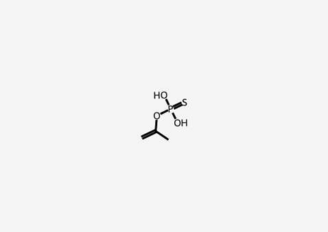 C=C(C)OP(O)(O)=S